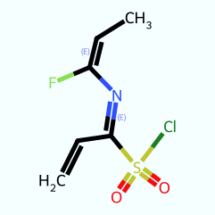 C=C/C(=N\C(F)=C/C)S(=O)(=O)Cl